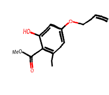 C=CCOc1cc(C)c(C(=O)OC)c(O)c1